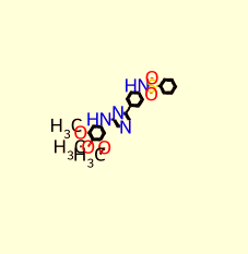 COc1cc(Nc2cncc(-c3ccc(NS(=O)(=O)c4ccccc4)cc3)n2)cc(OC)c1OC